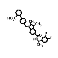 Cc1c(C)n(Cc2ccc(-c3ccccc3C(=O)O)cc2)c2ccc(C(=O)N[C@@H](C)c3ccc(F)c(F)c3)cc12